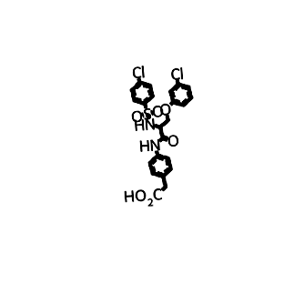 O=C(O)Cc1ccc(NC(=O)C(COc2cccc(Cl)c2)NS(=O)(=O)c2ccc(Cl)cc2)cc1